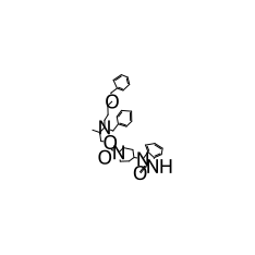 CC(COC(=O)N1CCC(n2c(=O)[nH]c3ccccc32)CC1)N(CCCOCc1ccccc1)Cc1ccccc1